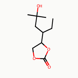 CCC(CC(C)(C)O)C1COC(=O)O1